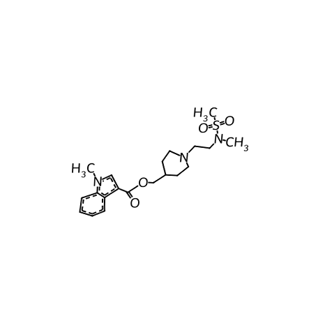 CN(CCN1CCC(COC(=O)c2cn(C)c3ccccc23)CC1)S(C)(=O)=O